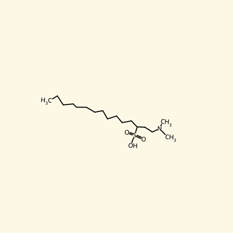 CCCCCCCCCCCCC(CCN(C)C)S(=O)(=O)O